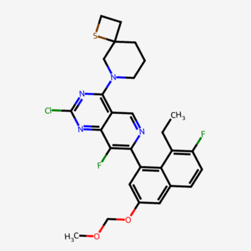 CCc1c(F)ccc2cc(OCOC)cc(-c3ncc4c(N5CCCC6(CCS6)C5)nc(Cl)nc4c3F)c12